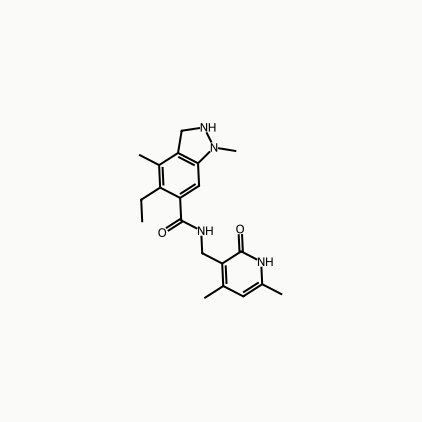 CCc1c(C(=O)NCc2c(C)cc(C)[nH]c2=O)cc2c(c1C)CNN2C